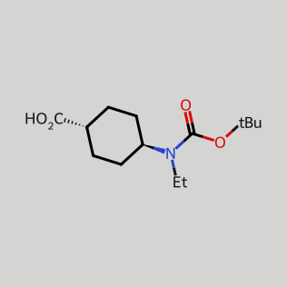 CCN(C(=O)OC(C)(C)C)[C@H]1CC[C@H](C(=O)O)CC1